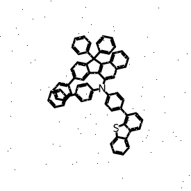 c1ccc(-c2ccc(N(c3ccc(-c4cccc5c4sc4ccccc45)cc3)c3cc4ccccc4c4c3-c3cc(-c5ccccc5)ccc3C4(c3ccccc3)c3ccccc3)cc2)cc1